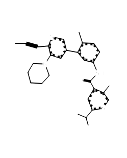 CC#Cc1ncc(-c2cc(NC(=O)c3cc(C(C)C)ncc3F)ccc2C)cc1N1CCCCC1